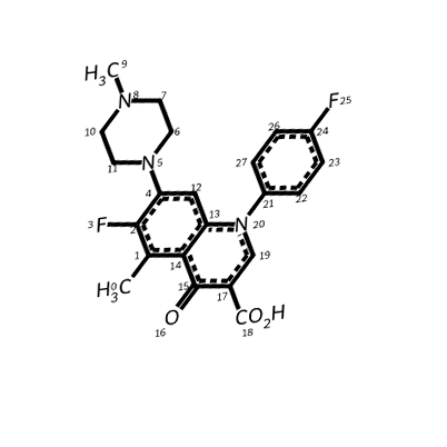 Cc1c(F)c(N2CCN(C)CC2)cc2c1c(=O)c(C(=O)O)cn2-c1ccc(F)cc1